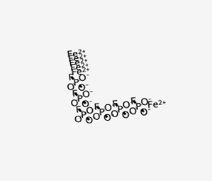 O=P([O-])([O-])F.O=P([O-])([O-])F.O=P([O-])([O-])F.O=P([O-])([O-])F.O=P([O-])([O-])F.O=P([O-])([O-])F.[Fe+2].[Fe+2].[Fe+2].[Fe+2].[Fe+2].[Fe+2]